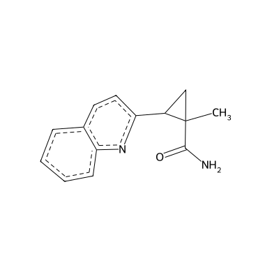 CC1(C(N)=O)CC1c1ccc2ccccc2n1